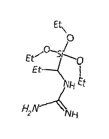 CCO[Si](OCC)(OCC)C(CC)NC(=N)N